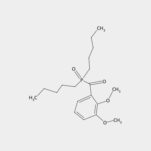 CCCCCP(=O)(CCCCC)C(=O)c1cccc(OC)c1OC